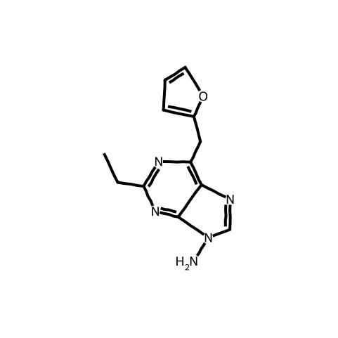 CCc1nc(Cc2ccco2)c2ncn(N)c2n1